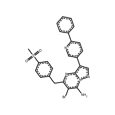 CS(=O)(=O)c1ccc(Cc2nc3c(-c4ccc(-c5ccccc5)nc4)cnn3c(N)c2Br)cc1